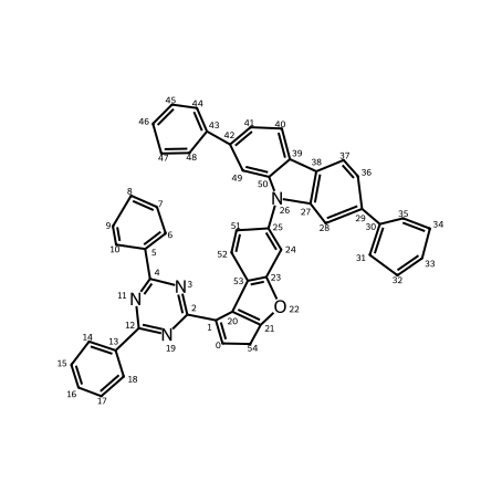 C1=C(c2nc(-c3ccccc3)nc(-c3ccccc3)n2)c2c(oc3cc(-n4c5cc(-c6ccccc6)ccc5c5ccc(-c6ccccc6)cc54)ccc23)C1